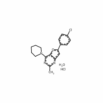 Cc1nc(N2CCCCC2)c2oc(-c3ccc(Cl)cc3)cc2n1.Cl.O